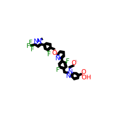 COCCn1c(Cc2cc(F)c(-c3cccc(OCc4ccc(-c5cc(C(F)(F)F)nn5C)cc4F)n3)cc2F)nc2ccc(C(=O)O)cc21